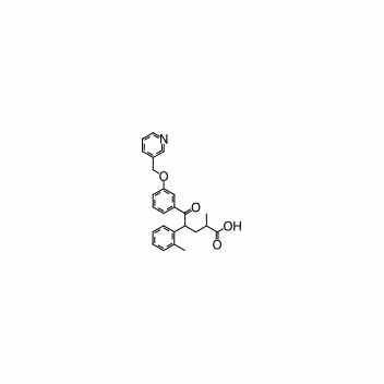 Cc1ccccc1C(CC(C)C(=O)O)C(=O)c1cccc(OCc2cccnc2)c1